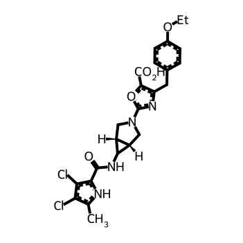 CCOc1ccc(Cc2nc(N3C[C@@H]4C(NC(=O)c5[nH]c(C)c(Cl)c5Cl)[C@@H]4C3)oc2C(=O)O)cc1